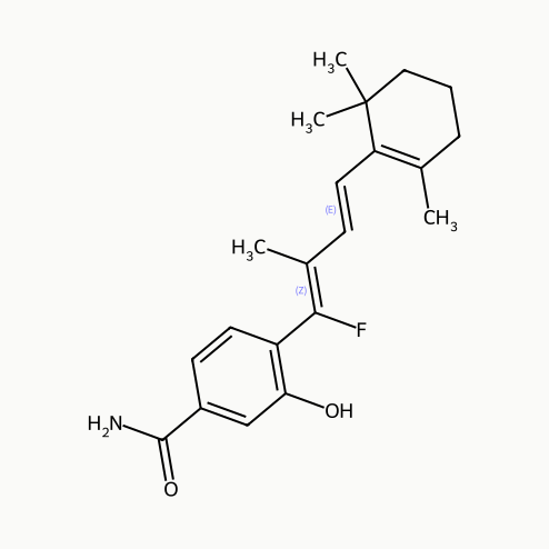 CC1=C(/C=C/C(C)=C(\F)c2ccc(C(N)=O)cc2O)C(C)(C)CCC1